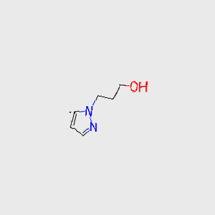 OCCCn1[c]ccn1